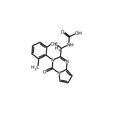 Cc1cccc(C)c1-n1c(C(C)NC(=O)O)nc2cccn2c1=O